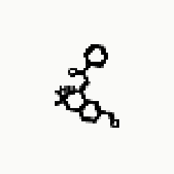 CC1(C)Cc2ccc(C=O)cc2C(=CC(=O)c2ccccc2)N1